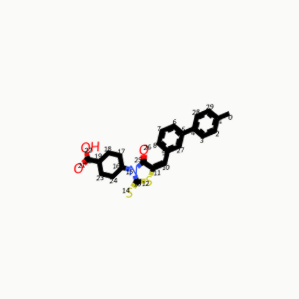 Cc1ccc(-c2cccc(C=C3SC(=S)N(C4CCC(C(=O)O)CC4)C3=O)c2)cc1